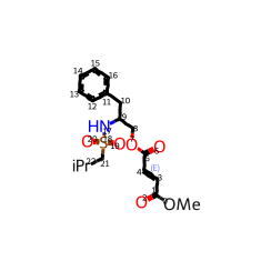 COC(=O)/C=C/C(=O)OCC(Cc1ccccc1)NS(=O)(=O)CC(C)C